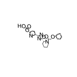 O=C(O)Oc1ccc(-c2noc([C@H]3CCCCN3C(=O)COc3ccccc3)n2)cn1